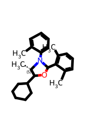 Cc1ccccc1N1C(c2c(C)cccc2C)OC(C2CCCCC2)[C@@H]1C